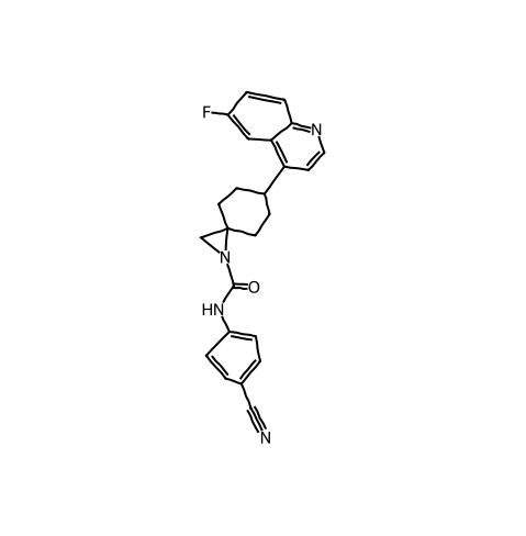 N#Cc1ccc(NC(=O)N2CC23CCC(c2ccnc4ccc(F)cc24)CC3)cc1